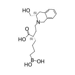 O=C(O)[C@@H](CCCCB(O)O)CCN1Cc2ccccc2C[C@H]1CO